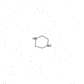 B1CCNCC1